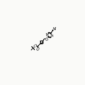 CC(C)(C)OC(=O)C12CC(COc3cnc(C#N)cn3)(C1)C2